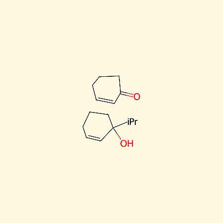 CC(C)C1(O)C=CCCC1.O=C1C=CCCC1